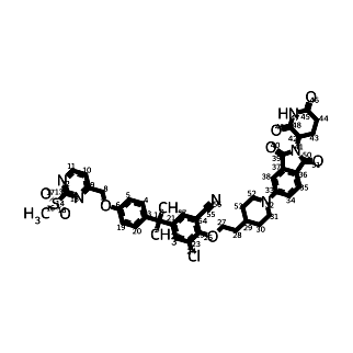 CC(C)(c1ccc(OCc2ccnc(S(C)(=O)=O)n2)cc1)c1cc(Cl)c(OCCC2CCN(c3ccc4c(c3)C(=O)N(C3CCC(=O)NC3=O)C4=O)CC2)c(C#N)c1